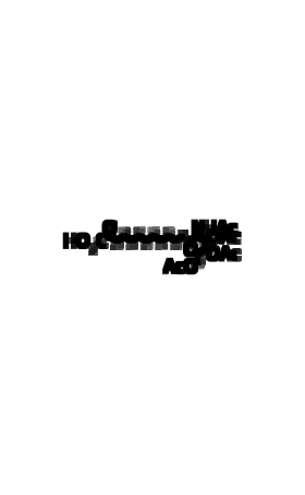 CC(=O)N[C@H]1[C@@H](OC(C)=O)[C@@H](OC(C)=O)[C@@H](COC(C)=O)O[C@@H]1CCCCCCCCCCC(=O)C(=O)O